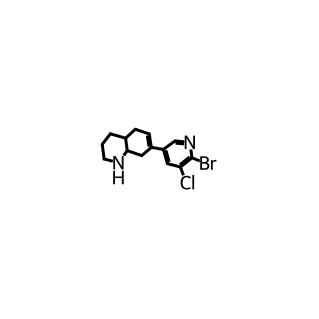 Clc1cc(C2=CCC3CCCNC3C2)cnc1Br